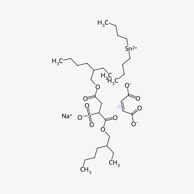 CCCCC(CC)COC(=O)CC(C(=O)OCC(CC)CCCC)S(=O)(=O)[O-].CCC[CH2][Sn+2][CH2]CCC.O=C([O-])/C=C\C(=O)[O-].[Na+]